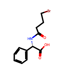 O=C(CCCBr)N[C@H](C(=O)O)c1ccccc1